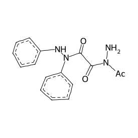 CC(=O)N(N)C(=O)C(=O)N(Nc1ccccc1)c1ccccc1